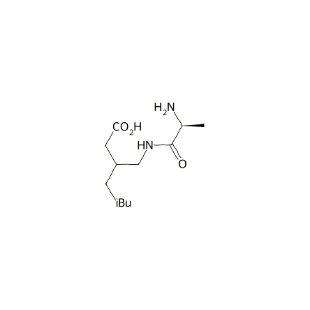 CCC(C)CC(CNC(=O)[C@H](C)N)CC(=O)O